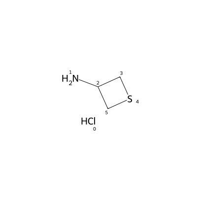 Cl.NC1CSC1